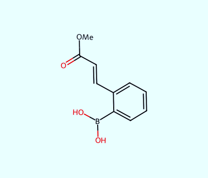 COC(=O)/C=C/c1ccccc1B(O)O